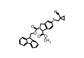 COC(=O)C1c2ccc(SCC3(C#N)CC3)cc2CN1C(=O)OCC1c2ccccc2-c2ccccc21